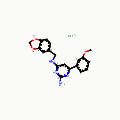 COc1cccc(-c2cc(NCc3ccc4c(c3)OCO4)nc(N)n2)c1.Cl